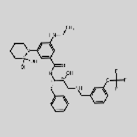 CCNc1cc(C(=O)N[C@@H](Cc2ccccc2)[C@H](O)CNCc2cccc(OC(F)(F)F)c2)cc(N2CCCCS2(O)O)c1